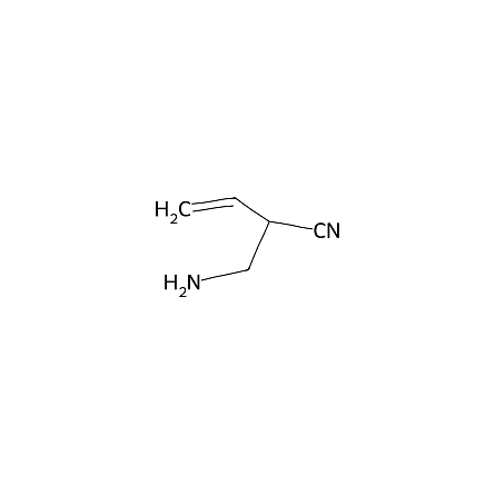 C=CC(C#N)CN